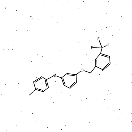 Cc1ccc(Oc2cccc(OCc3cccc(C(F)(F)F)c3)c2)cc1